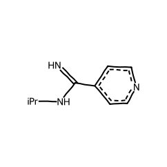 CC(C)NC(=N)c1ccncc1